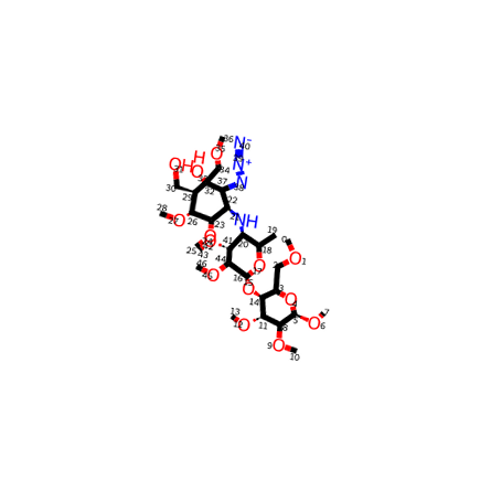 COCC1O[C@@H](OC)C(OC)[C@H](OC)[C@H]1O[C@@H]1OC(C)[C@H](N[C@H]2C(OC)[C@H](OC)[C@@H](CO)C(O)(COC)C2N=[N+]=[N-])[C@@H](OC)C1OC